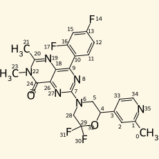 Cc1cc(C2CN(c3nc(-c4ccc(F)cc4F)c4nc(C)n(C)c(=O)c4n3)CC(F)(F)O2)ccn1